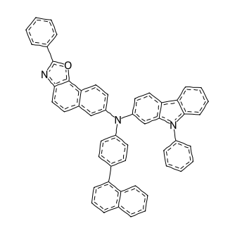 c1ccc(-c2nc3ccc4cc(N(c5ccc(-c6cccc7ccccc67)cc5)c5ccc6c7ccccc7n(-c7ccccc7)c6c5)ccc4c3o2)cc1